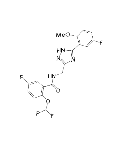 COc1ccc(F)cc1-c1nc(CNC(=O)c2cc(F)ccc2OC(F)F)n[nH]1